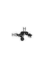 Cc1cn(-c2ccc(Nc3ccc4c(n3)OC(c3ccccc3)CN(CCO)C4)cc2)cn1